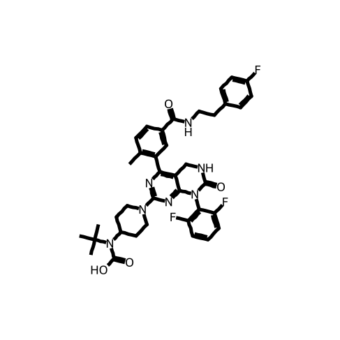 Cc1ccc(C(=O)NCCc2ccc(F)cc2)cc1-c1nc(N2CCC(N(C(=O)O)C(C)(C)C)CC2)nc2c1CNC(=O)N2c1c(F)cccc1F